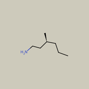 CCC[C@H](C)CCN